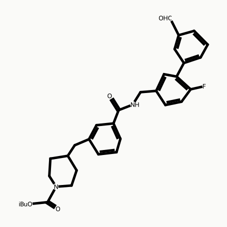 CC(C)COC(=O)N1CCC(Cc2cccc(C(=O)NCc3ccc(F)c(-c4cccc(C=O)c4)c3)c2)CC1